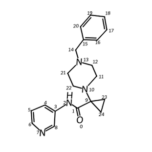 O=C(Nc1cccnc1)C1(N2CCN(Cc3ccccc3)CC2)CC1